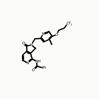 Cc1cc(CN2Cc3c(ccnc3NC(=O)C(C)C)C2=O)ncc1OCCC(F)(F)F